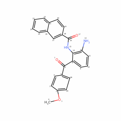 COc1ccc(C(=O)c2cccc(N)c2NC(=O)c2ccc3ccccc3c2)cc1